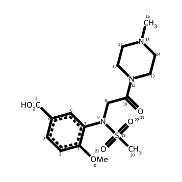 COc1ccc(C(=O)O)cc1N(CC(=O)N1CCN(C)CC1)S(C)(=O)=O